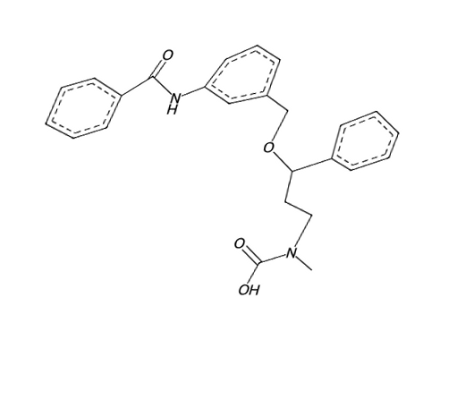 CN(CCC(OCc1cccc(NC(=O)c2ccccc2)c1)c1ccccc1)C(=O)O